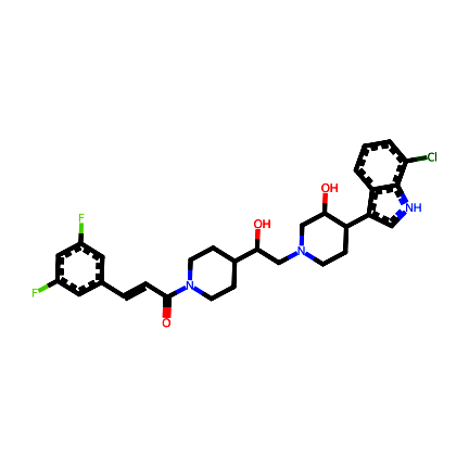 O=C(/C=C/c1cc(F)cc(F)c1)N1CCC(C(O)CN2CCC(c3c[nH]c4c(Cl)cccc34)C(O)C2)CC1